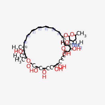 CC1CC(N)C(O)C(O[C@H]2/C=C/C=C/C=C/C=C/C=C/C=C/C=C/[C@H](C)[C@@H](O)[C@@H](C)[C@H](C)OC(=O)C[C@H](O)C[C@H](O)CC[C@@H](O)[C@H](O)CCC[C@]3(O)C[C@H](O)[C@@H](C(=O)O)[C@H](C2)O3)O1